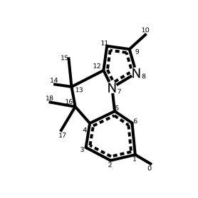 Cc1ccc2c(c1)-n1nc(C)cc1C(C)(C)C2(C)C